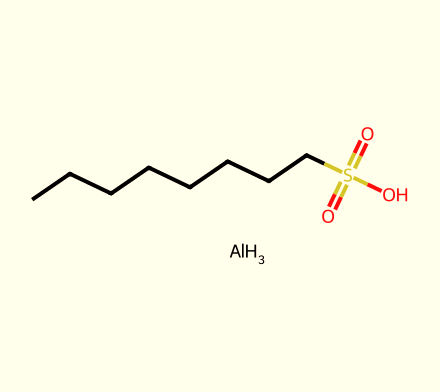 CCCCCCCCS(=O)(=O)O.[AlH3]